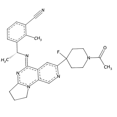 CC(=O)N1CCC(F)(c2cc3/c(=N/[C@H](C)c4cccc(C#N)c4C)nc4n(c3cn2)CCC4)CC1